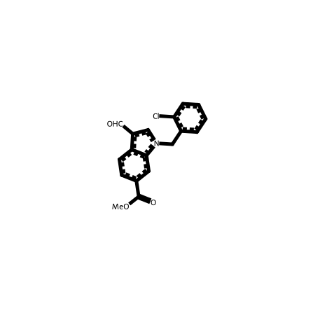 COC(=O)c1ccc2c(C=O)cn(Cc3ccccc3Cl)c2c1